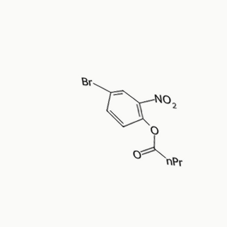 CCCC(=O)Oc1ccc(Br)cc1[N+](=O)[O-]